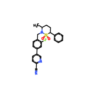 CC1CCC(c2ccccc2)S(=O)(=O)N1Cc1ccc(-c2ccc(C#N)nc2)cc1F